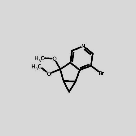 COC1(OC)c2cncc(Br)c2C2CC21